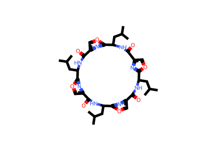 CC(C)CC1NC(=O)c2coc(n2)C(CC(C)C)NC(=O)c2coc(n2)C(CC(C)C)NC(=O)c2coc(n2)C(CC(C)C)NC(=O)c2coc1n2